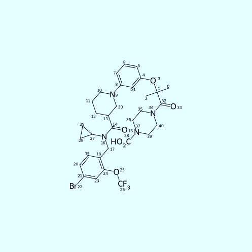 CC(C)(Oc1cccc(N2CCCC(C(=O)N(Cc3ccc(Br)cc3OC(F)(F)F)C3CC3)C2)c1)C(=O)N1CCN(C(=O)O)CC1